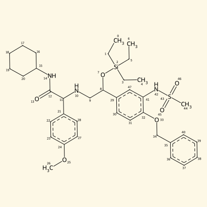 CC[Si](CC)(CC)OC(CNC(C(=O)NC1CCCCC1)c1ccc(OC)cc1)c1ccc(OCc2ccccc2)c(NS(C)(=O)=O)c1